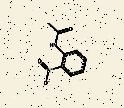 [CH2]C(=O)Nc1ccccc1[N+](=O)[O-]